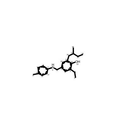 CCc1cc(CNc2ccc(C)cc2)cc(CC(C)CC)c1O